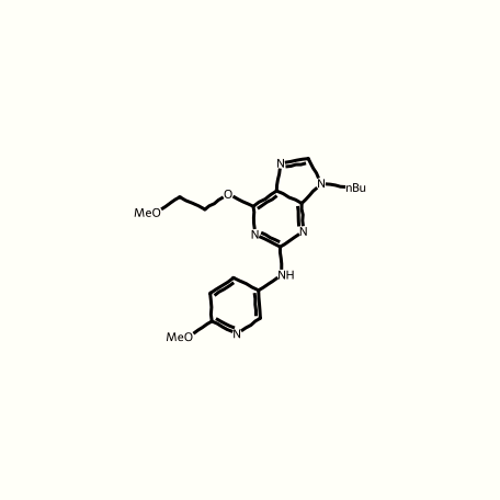 CCCCn1cnc2c(OCCOC)nc(Nc3ccc(OC)nc3)nc21